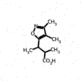 Cc1noc(C(C)C(C)C(=O)O)c1C